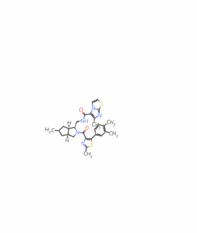 Cc1nc(C(=O)N2C[C@@H]3CC(C)C[C@@H]3[C@H]2CNC(=O)c2c(C)nc3sccn23)c(-c2ccc(C)c(C)c2)s1